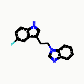 Fc1ccc2[nH]cc(CCn3cnc4ccccc43)c2c1